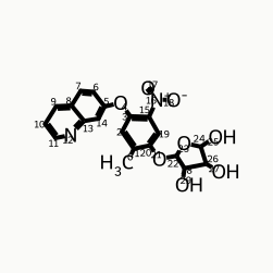 Cc1cc(Oc2ccc3cccnc3c2)c([N+](=O)[O-])cc1OC1OC(O)C(O)C1O